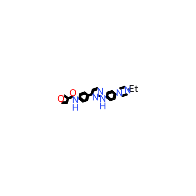 CCN1CCN(c2ccc(Nc3nccc(-c4ccc(NC(=O)C5CCOC5)cc4)n3)cc2)CC1